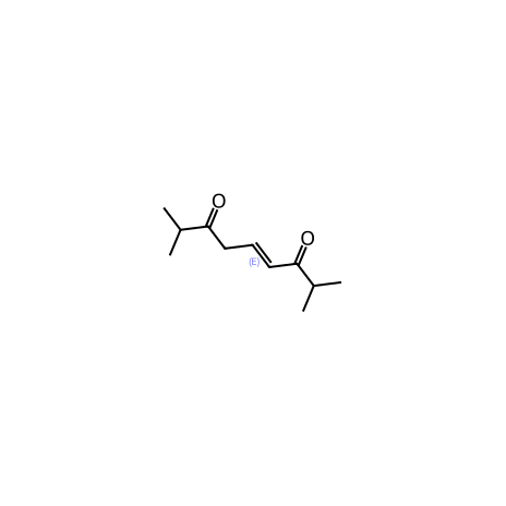 CC(C)C(=O)/C=C/CC(=O)C(C)C